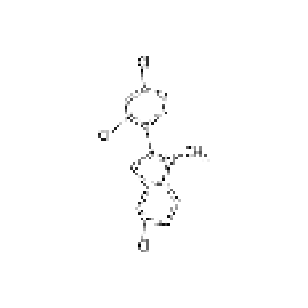 Cn1c(-c2ccc(Cl)cc2Cl)cc2cc(Cl)ccc21